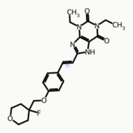 CCn1c(=O)c2[nH]c(/C=C/c3ccc(OCC4(F)CCOCC4)cc3)nc2n(CC)c1=O